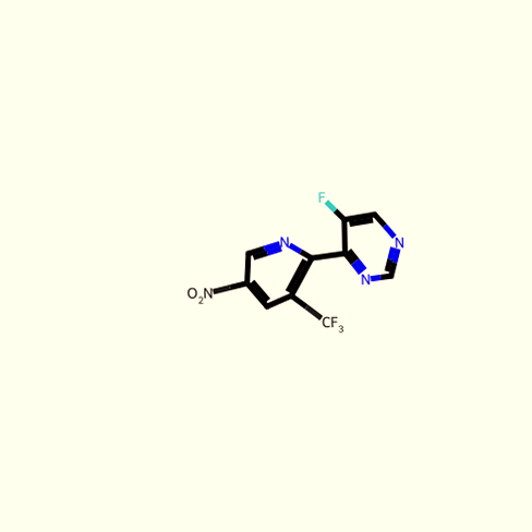 O=[N+]([O-])c1cnc(-c2ncncc2F)c(C(F)(F)F)c1